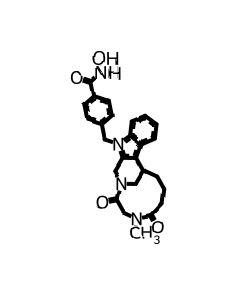 CN1CC(=O)N2Cc3c(c4ccccc4n3Cc3ccc(C(=O)NO)cc3)C(CCCC1=O)C2